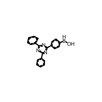 OBc1ccc(-c2nc(-c3ccccc3)nc(-c3ccccc3)n2)cc1